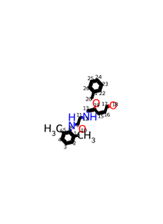 Cc1cccc(C)c1NC(=O)CN/C=C(\C=C/C=O)OCc1ccccc1